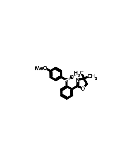 COc1ccc([S+]([O-])c2ccccc2C2=NC(C)(C)CO2)cc1